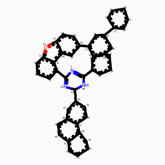 c1ccc(C2=NC(c3cccc4oc5ccc(-c6cccc(-c7ccccc7)c6)cc5c34)=NC(c3ccc4c(ccc5ccccc54)c3)N2)cc1